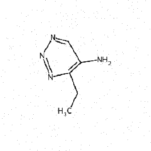 CCc1nnncc1N